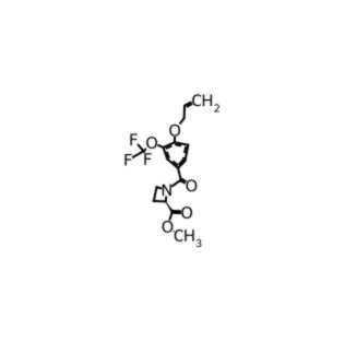 C=CCOc1ccc(C(=O)N2CC[C@@H]2C(=O)OC)cc1OC(F)(F)F